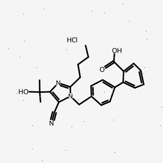 CCCCc1nc(C(C)(C)O)c(C#N)n1Cc1ccc(-c2ccccc2C(=O)O)cc1.Cl